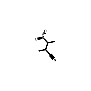 CC(C#N)C(C)[SH](=O)=O